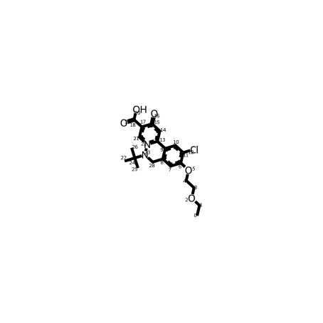 CCOCCOc1cc2c(cc1Cl)-c1cc(=O)c(C(=O)O)cn1N(C(C)(C)C)C2